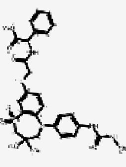 CCCCC1(CCCC)CN(c2ccc(NC(=O)NC(C)(C)C)cc2)c2ccc(OCC(=O)N[C@@H](C(=O)OC)c3ccccc3)cc2S(=O)(=O)C1